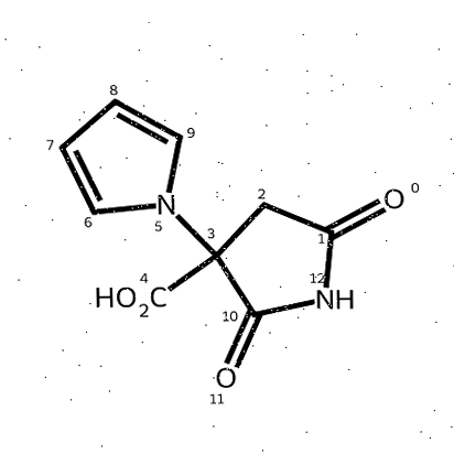 O=C1CC(C(=O)O)(n2cccc2)C(=O)N1